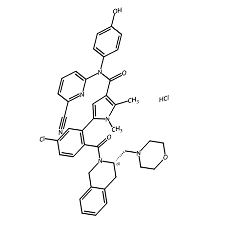 Cc1c(C(=O)N(c2ccc(O)cc2)c2cccc(C#N)n2)cc(-c2cc(Cl)ccc2C(=O)N2Cc3ccccc3C[C@H]2CN2CCOCC2)n1C.Cl